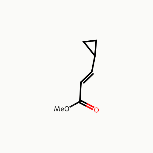 COC(=O)C=CC1CC1